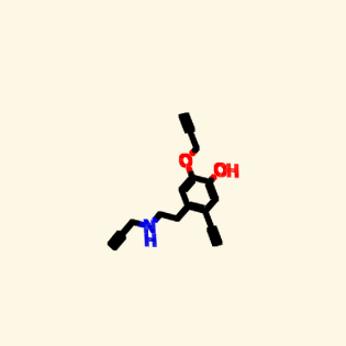 C#CCNCCc1cc(OCC#C)c(O)cc1C#C